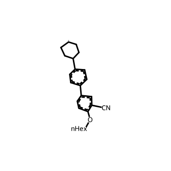 CCCCCCOc1ccc(-c2ccc(C3CC[CH]CC3)cc2)cc1C#N